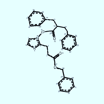 O=C(CCc1nccn1OC(=O)C(Cc1ccccc1)Cc1ccccc1)OCc1ccccc1